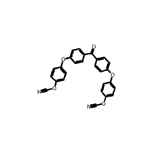 N#COc1ccc(Oc2ccc(C(=O)c3ccc(Oc4ccc(OC#N)cc4)cc3)cc2)cc1